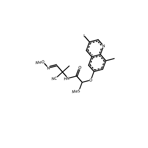 CO/N=C/C(C)(C#N)NC(=O)C(Oc1cc(C)c2ncc(I)cc2c1)SC